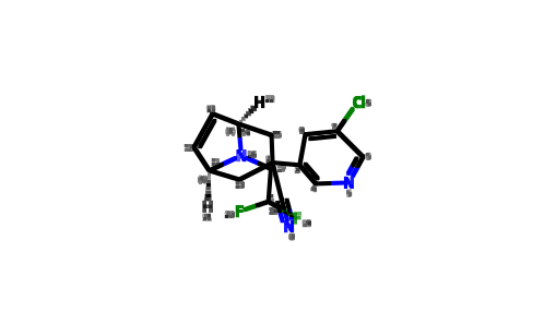 N#CC1(c2cncc(Cl)c2)C[C@H]2C=C[C@@H](C1)N2CC(F)F